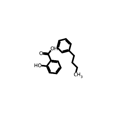 CCCCc1ccccc1.O=C(O)c1ccccc1O